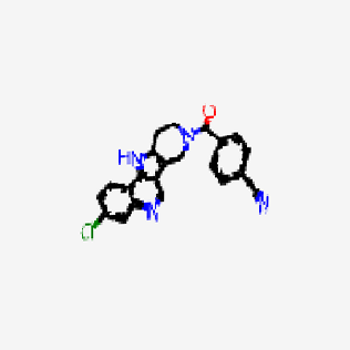 N#Cc1ccc(C(=O)N2CCc3[nH]c4c(cnc5cc(Cl)ccc54)c3C2)cc1